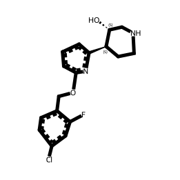 O[C@@H]1CNCC[C@H]1c1cccc(OCc2ccc(Cl)cc2F)n1